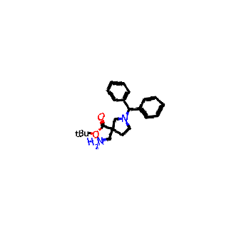 CC(C)(C)OC(=O)C1(CN)CCN(C(c2ccccc2)c2ccccc2)C1